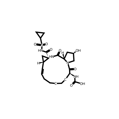 O=C(O)N[C@H]1CCCCC/C=C\[C@@H]2C[C@@]2(C(=O)NS(=O)(=O)C2CC2)NC(=O)[C@@H]2C[C@@H](O)CN2C1=O